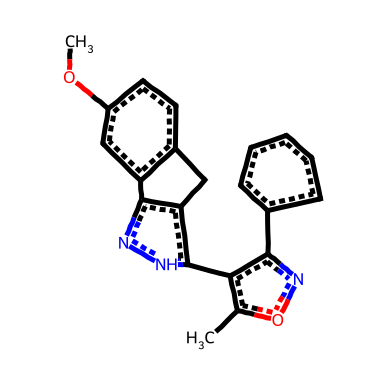 COc1ccc2c(c1)-c1n[nH]c(-c3c(-c4ccccc4)noc3C)c1C2